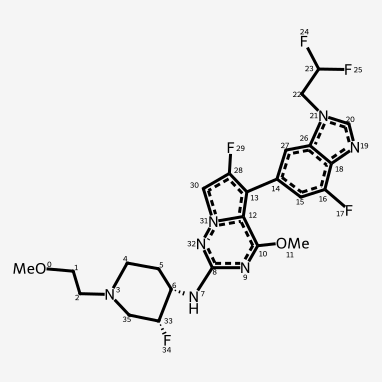 COCCN1CC[C@H](Nc2nc(OC)c3c(-c4cc(F)c5ncn(CC(F)F)c5c4)c(F)cn3n2)[C@H](F)C1